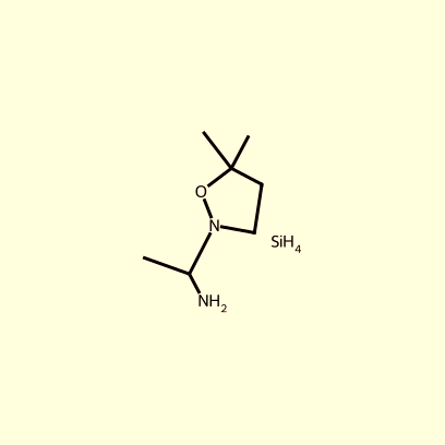 CC(N)N1CCC(C)(C)O1.[SiH4]